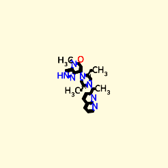 CC[C@H]1CN(C(C)c2ccc3cccnc3n2)[C@H](CC)CN1c1cc(=O)n(C)c2c[nH]nc12